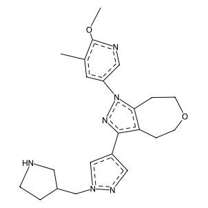 COc1ncc(-n2nc(-c3cnn(CC4CCNC4)c3)c3c2CCOCC3)cc1C